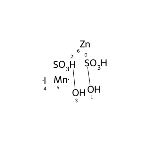 O=S(=O)(O)O.O=S(=O)(O)O.[I].[Mn].[Zn]